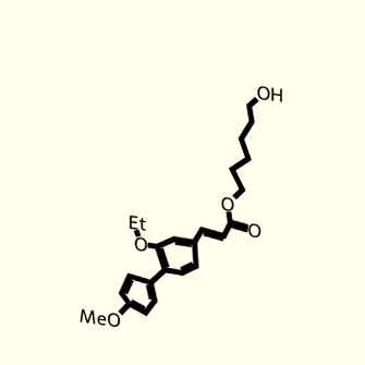 CCOc1cc(C=CC(=O)OCCCCCCO)ccc1-c1ccc(OC)cc1